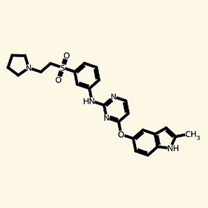 Cc1cc2cc(Oc3ccnc(Nc4cccc(S(=O)(=O)CCN5CCCC5)c4)n3)ccc2[nH]1